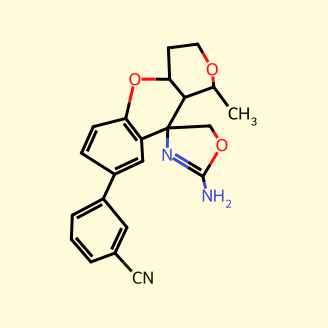 CC1OCCC2Oc3ccc(-c4cccc(C#N)c4)cc3C3(COC(N)=N3)C12